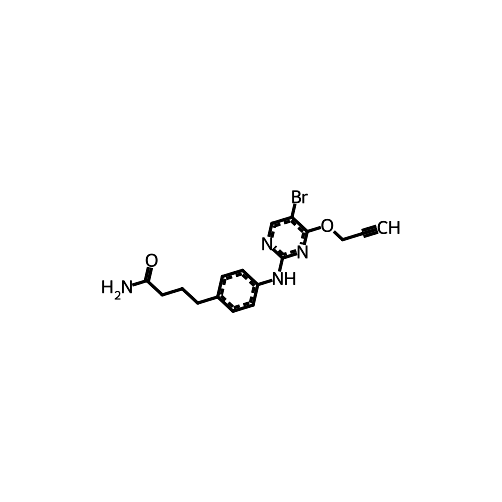 C#CCOc1nc(Nc2ccc(CCCC(N)=O)cc2)ncc1Br